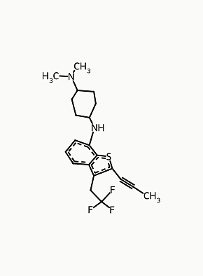 CC#Cc1sc2c(NC3CCC(N(C)C)CC3)cccc2c1CC(F)(F)F